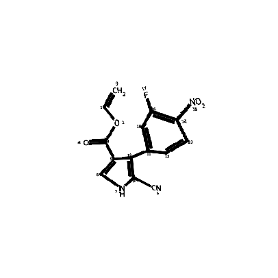 C=COC(=O)c1c[nH]c(C#N)c1-c1ccc([N+](=O)[O-])c(F)c1